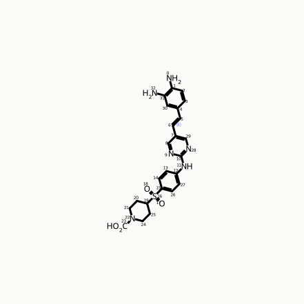 Nc1ccc(/C=C/c2cnc(Nc3ccc(S(=O)(=O)C4CCN(C(=O)O)CC4)cc3)nc2)cc1N